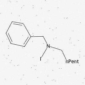 CCCCCCN(I)Cc1ccccc1